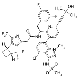 Cn1nc(NS(C)(=O)=O)c2c(Cl)ccc(-c3ccc(C#CC(C)(C)O)nc3[C@H](Cc3cc(F)cc(F)c3)NC(=O)Cn3nc(C(F)(F)F)c4c3C(F)(F)[C@@H]3CC[C@H]43)c21